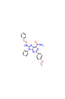 CCOc1ccc(-c2nc(C(N)=O)c3nc(NOCc4ccccc4)n(-c4ccccc4)c3n2)cc1